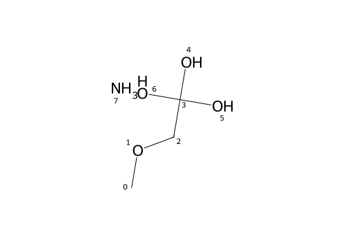 COCC(O)(O)O.N